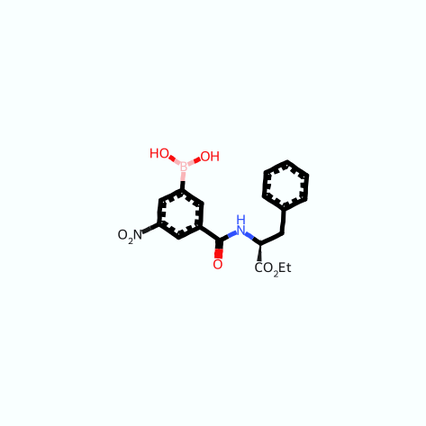 CCOC(=O)[C@H](Cc1ccccc1)NC(=O)c1cc(B(O)O)cc([N+](=O)[O-])c1